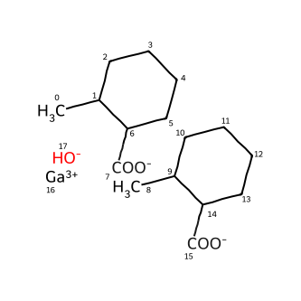 CC1CCCCC1C(=O)[O-].CC1CCCCC1C(=O)[O-].[Ga+3].[OH-]